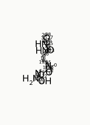 C[C@H]1COC(c2cnc(N)c(O)c2)CN1CC1CC1CCNC(=O)c1cc2ccccc2[nH]1